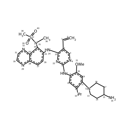 C=Cc1cnc(Nc2cc(C(C)C)c(N3CCC(N)CC3)cc2OC)nc1Nc1ccc2nccnc2c1N(C)S(C)(=O)=O